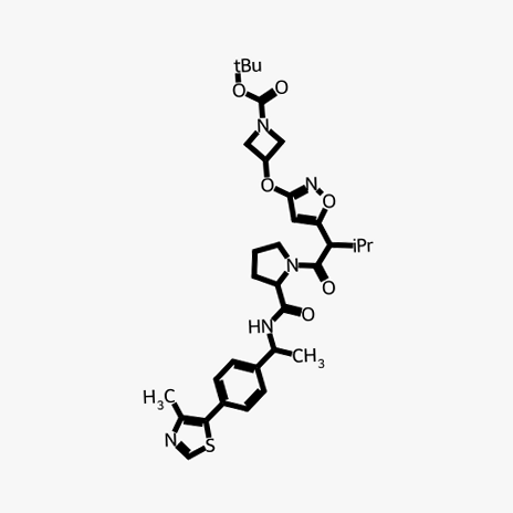 Cc1ncsc1-c1ccc(C(C)NC(=O)C2CCCN2C(=O)C(c2cc(OC3CN(C(=O)OC(C)(C)C)C3)no2)C(C)C)cc1